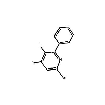 CC(=O)c1cc(F)c(F)c(-c2ccccc2)n1